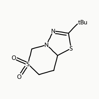 CC(C)(C)C1=NN2CS(=O)(=O)CCC2S1